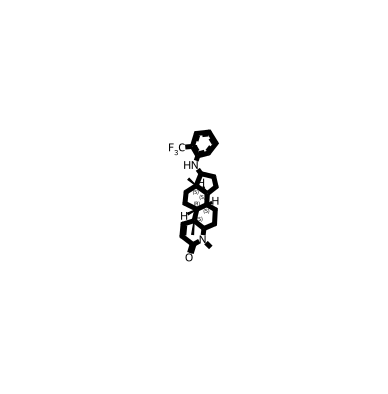 CN1C(=O)C=C[C@@]2(C)C1CC[C@@H]1[C@H]2CC[C@]2(C)C(Nc3ccccc3C(F)(F)F)CC[C@@H]12